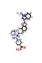 Cn1cc(-c2nc3ccc(CC(=O)C(F)(N[C@H]4CC[C@H](C(=O)O)CC4)N4CCCC4)c(F)c3o2)c2ccccc21